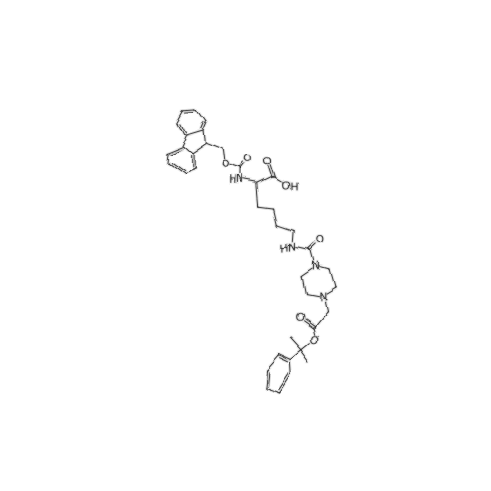 CC(C)(OC(=O)CN1CCN(C(=O)NCCCCC(NC(=O)OCC2c3ccccc3-c3ccccc32)C(=O)O)CC1)c1ccccc1